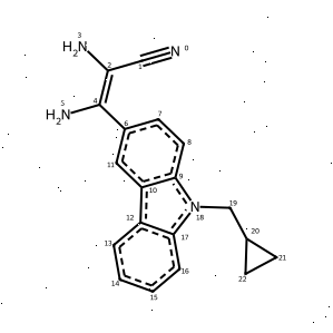 N#C/C(N)=C(/N)c1ccc2c(c1)c1ccccc1n2CC1CC1